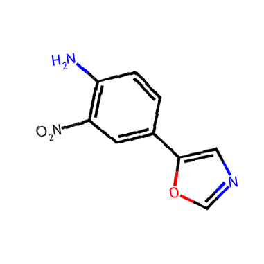 Nc1ccc(-c2cnco2)cc1[N+](=O)[O-]